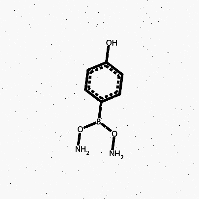 NOB(ON)c1ccc(O)cc1